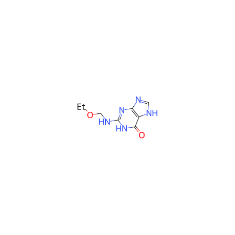 CCOCNc1nc2nc[nH]c2c(=O)[nH]1